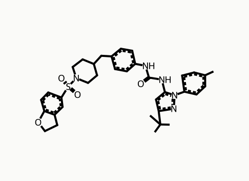 Cc1ccc(-n2nc(C(C)(C)C)cc2NC(=O)Nc2ccc(CC3CCN(S(=O)(=O)c4ccc5c(c4)CCO5)CC3)cc2)cc1